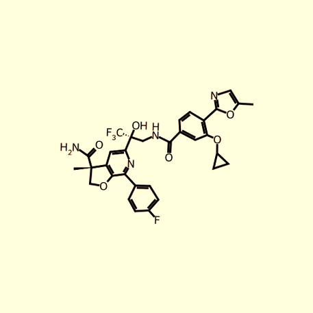 Cc1cnc(-c2ccc(C(=O)NC[C@](O)(c3cc4c(c(-c5ccc(F)cc5)n3)OC[C@]4(C)C(N)=O)C(F)(F)F)cc2OC2CC2)o1